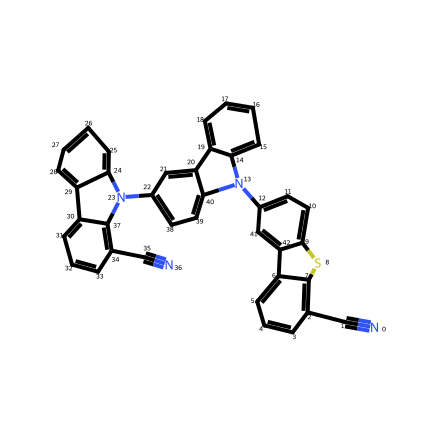 N#Cc1cccc2c1sc1ccc(-n3c4ccccc4c4cc(-n5c6ccccc6c6cccc(C#N)c65)ccc43)cc12